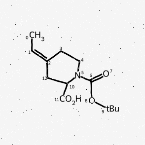 CC=C1CCN(C(=O)OC(C)(C)C)C(C(=O)O)C1